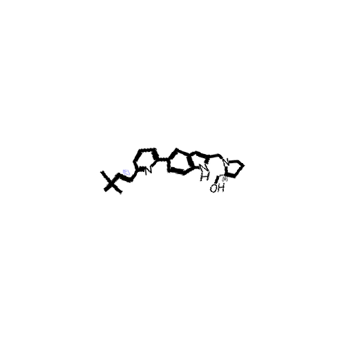 CC(C)(C)/C=C/c1cccc(-c2ccc3[nH]c(CN4CCC[C@@H]4CO)cc3c2)n1